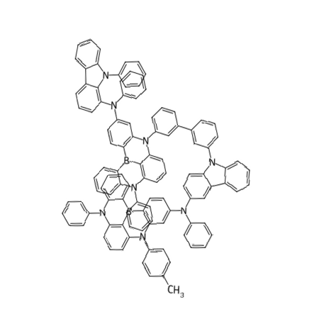 Cc1ccc(N2c3cc(N(c4ccccc4)c4ccc5c(c4)c4ccccc4n5-c4cccc(-c5cccc(N6c7cc(N(c8ccccc8)c8cccc9c%10ccccc%10n(-c%10ccccc%10)c89)ccc7B7c8ccccc8N(c8ccccc8)c8cccc6c87)c5)c4)ccc3B3c4ccccc4N(c4ccccc4)c4cccc2c43)cc1